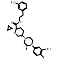 C[C@H]1CN([C@@H]2CC[C@@](C(=O)NCCc3cccc(C(F)(F)F)c3)(C3CC3)OC2)CCN1c1ccc(F)c(C(=O)O)c1